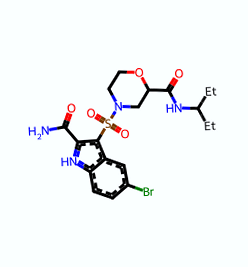 CCC(CC)NC(=O)C1CN(S(=O)(=O)c2c(C(N)=O)[nH]c3ccc(Br)cc23)CCO1